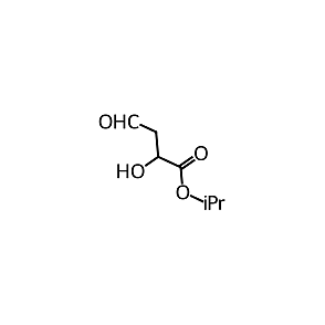 CC(C)OC(=O)C(O)CC=O